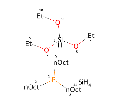 CCCCCCCCP(CCCCCCCC)CCCCCCCC.CCO[SiH](OCC)OCC.[SiH4]